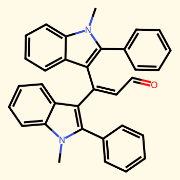 Cn1c(-c2ccccc2)c(C(=CC=O)c2c(-c3ccccc3)n(C)c3ccccc23)c2ccccc21